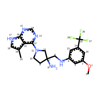 COc1cc(NCC2(N)CCN(c3ncnc4[nH]cc(C)c34)C2)cc(C(F)(F)F)c1